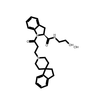 Cl.O=C(NCCO)[C@@H]1Cc2ccccc2N1C(=O)CCN1CCC2(CCc3ccccc32)CC1